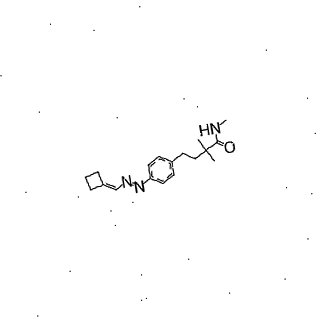 CNC(=O)C(C)(C)CCc1ccc(N=NC=C2CCC2)cc1